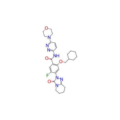 O=C(Nc1ccc(N2CCOCC2)nn1)c1cc(F)c(-n2nc3n(c2=O)CCCC3)cc1OCC1CCCCC1